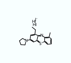 CCc1cc(N2CCCC2)cc2[s+]c3cccc(C)c3nc12.I.I.[I-]